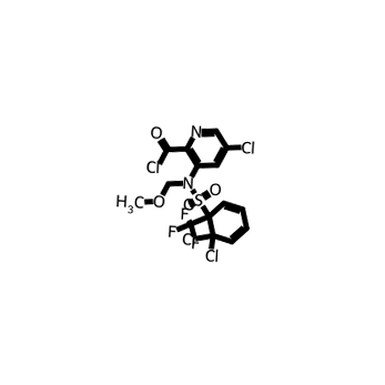 COCN(c1cc(Cl)cnc1C(=O)Cl)S(=O)(=O)C1(C(F)(F)F)C=CC=CC1(Cl)Cl